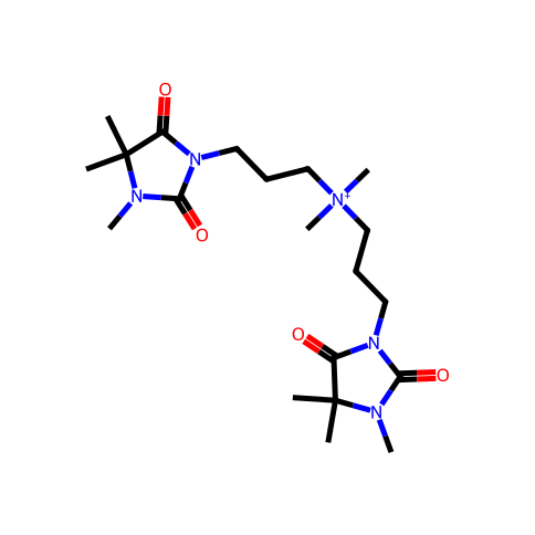 CN1C(=O)N(CCC[N+](C)(C)CCCN2C(=O)N(C)C(C)(C)C2=O)C(=O)C1(C)C